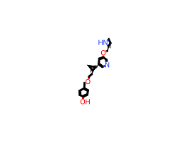 Oc1ccc(COCC[C@H]2C[C@@H]2c2cncc(OC[C@@H]3CCN3)c2)cc1